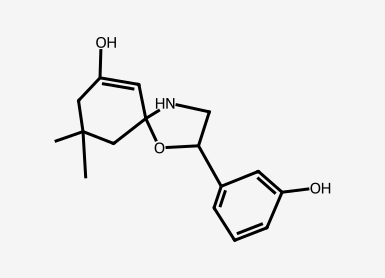 CC1(C)CC(O)=CC2(C1)NCC(c1cccc(O)c1)O2